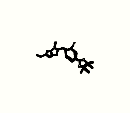 CCc1cc2c(s1)C(=O)N(Cc1ccc(B3OC(C)(C)C(C)(C)O3)cc1F)C2